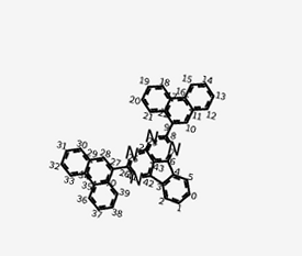 c1ccc2c(c1)-c1nc(-c3cc4ccccc4c4ccccc34)nc3nc(-c4cc5ccccc5c5ccccc45)nc-2c13